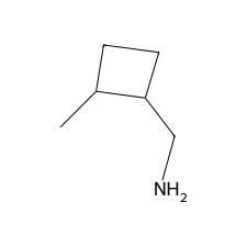 CC1CCC1CN